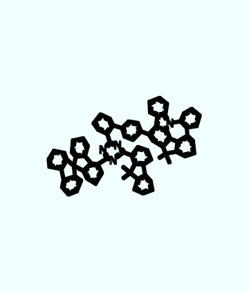 CC1(C)c2cccc3c2-c2c1cc(-c1ccc(-c4ccccc4-c4nc(-c5cccc6c5-c5ccccc5C65c6ccccc6-c6ccccc65)nc(-c5cccc6c5C(C)(C)c5ccccc5-6)n4)cc1)c1c4ccccc4n(c21)-c1ccccc1-3